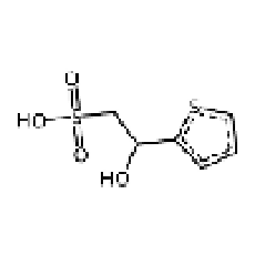 O=S(=O)(O)CC(O)c1cccs1